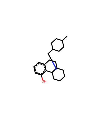 CC1CCC(CN2CCC34CCCCC3(CCc3cccc(O)c34)C2)CC1